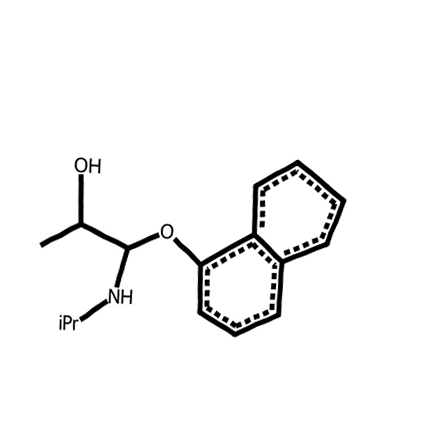 CC(C)NC(Oc1cccc2ccccc12)C(C)O